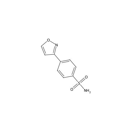 NS(=O)(=O)c1ccc(-c2ccon2)cc1